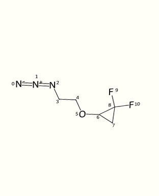 [N-]=[N+]=NCCOC1CC1(F)F